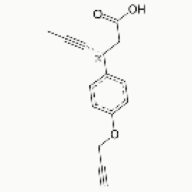 C#CCOc1ccc([C@H](C#CC)CC(=O)O)cc1